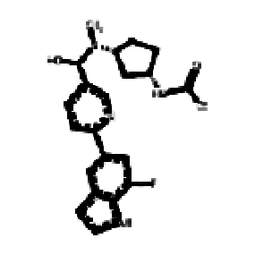 CCC(=O)N[C@H]1CC[C@@H](N(C)C(O)c2ccc(-c3cc(F)c4[nH]ccc4c3)nc2)C1